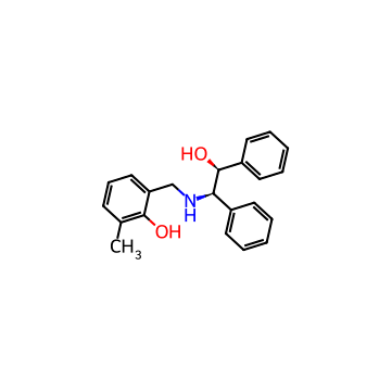 Cc1cccc(CN[C@H](c2ccccc2)[C@@H](O)c2ccccc2)c1O